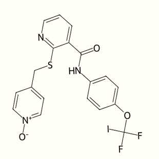 O=C(Nc1ccc(OC(F)(F)I)cc1)c1cccnc1SCc1cc[n+]([O-])cc1